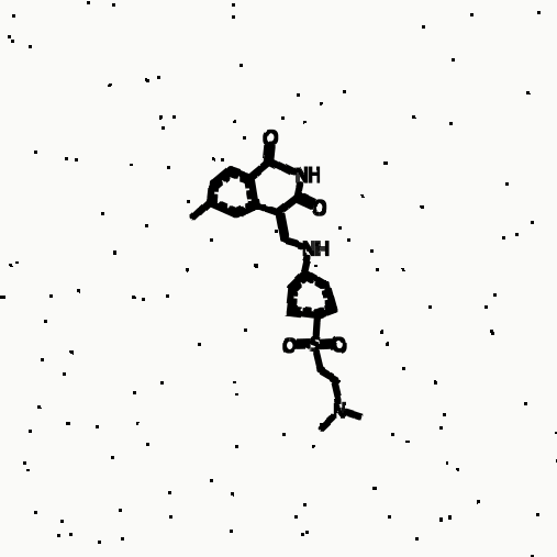 Cc1ccc2c(c1)/C(=C/Nc1ccc(S(=O)(=O)CCN(C)C)cc1)C(=O)NC2=O